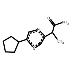 CC(C(N)=O)c1cnc(C2CCCC2)cn1